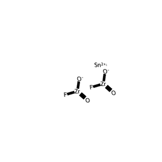 [O]=[Zr]([O-])[F].[O]=[Zr]([O-])[F].[Sn+2]